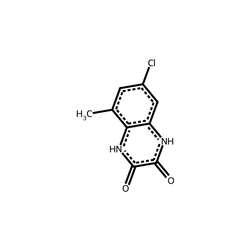 Cc1cc(Cl)cc2[nH]c(=O)c(=O)[nH]c12